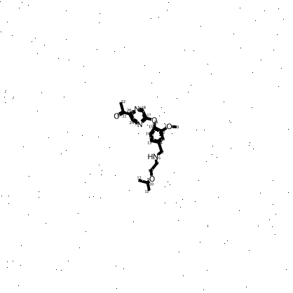 COc1cc(CNCCOC(C)C)ccc1Oc1cnc(C(C)=O)cn1